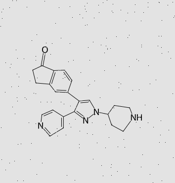 O=C1CCc2cc(-c3cn(C4CCNCC4)nc3-c3ccncc3)ccc21